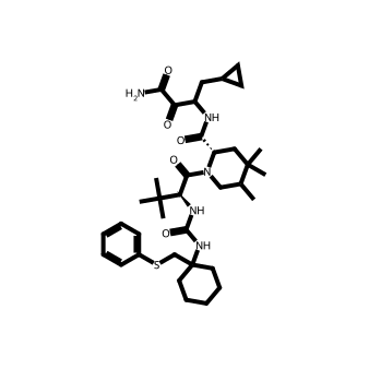 CC1CN(C(=O)[C@@H](NC(=O)NC2(CSc3ccccc3)CCCCC2)C(C)(C)C)[C@H](C(=O)NC(CC2CC2)C(=O)C(N)=O)CC1(C)C